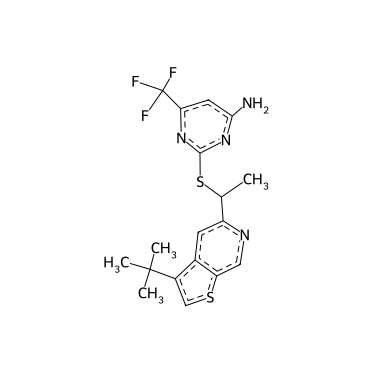 CC(Sc1nc(N)cc(C(F)(F)F)n1)c1cc2c(C(C)(C)C)csc2cn1